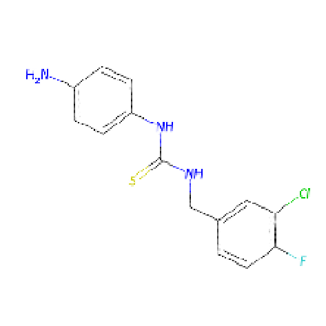 Nc1ccc(NC(=S)NCc2ccc(F)c(Cl)c2)cc1